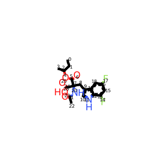 CCC(C)OC(=O)C(Cc1c[nH]c2c(F)cc(F)cc12)(NC(C)=O)C(=O)O